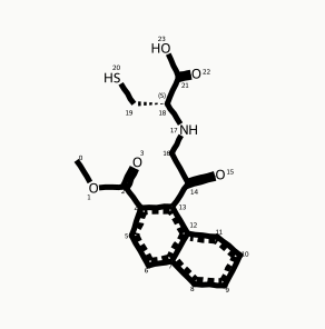 COC(=O)c1ccc2ccccc2c1C(=O)CN[C@H](CS)C(=O)O